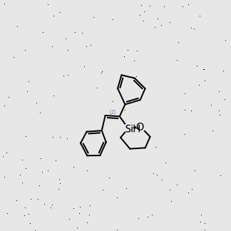 C(=C(\c1ccccc1)[SiH]1CCCCO1)/c1ccccc1